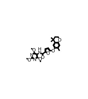 COc1nc(OC)c(NC(=O)c2ccc(Oc3cc4c(cc3C)OCCC4(C)C)o2)c(OC)n1